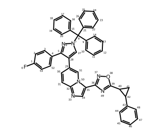 Fc1ccc(-c2nn(C(c3ccccc3)(c3ccccc3)c3ccccc3)cc2-c2ccc3ncc(-c4noc(C5CC5c5ccccc5)n4)n3c2)cc1